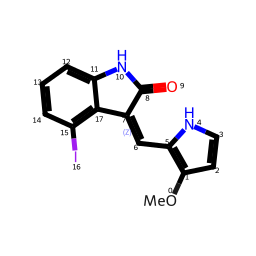 COc1cc[nH]c1/C=C1\C(=O)Nc2cccc(I)c21